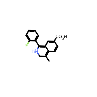 CC1=c2ccc(C(=O)O)cc2=C(c2ccccc2F)NC1